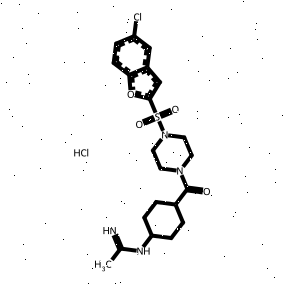 CC(=N)NC1CCC(C(=O)N2CCN(S(=O)(=O)c3cc4cc(Cl)ccc4o3)CC2)CC1.Cl